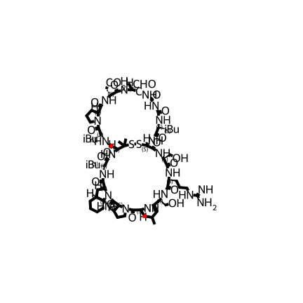 CC[C@H](C)[C@@H]1NC(=O)NC(=O)NC[C@@](C)(C=O)NC(=O)[C@@H](CC(=O)O)NC(=O)[C@@H]2CCCN2C(=O)[C@H]([C@@H](C)CC)NC(=O)[C@H]2NC(=O)[C@H]([C@@H](C)CC)NC(=O)[C@@H]3C[C@@H]4CCCC[C@@]45NC4CCN(C(=O)[C@@H]6CC(C)C=C(N6)[C@H](CO)NC(=O)[C@H](CCCNC(=N)N)NC(=O)[C@H](CO)NC(=O)[C@@H](NC1=O)SSC2(C)C)[C@@H]4C(=O)N35